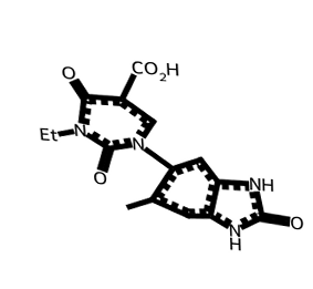 CCn1c(=O)c(C(=O)O)cn(-c2cc3[nH]c(=O)[nH]c3cc2C)c1=O